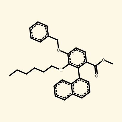 CCCCCCOc1c(OCc2ccccc2)ccc(C(=O)OC)c1-c1cccc2ccccc12